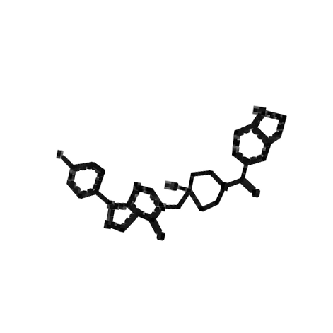 O=C(c1ccc2[nH]ccc2c1)N1CCC(O)(Cn2cnc3c(cnn3-c3ccc(F)cc3)c2=O)CC1